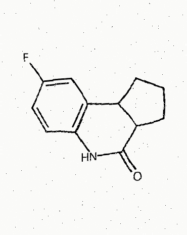 O=C1Nc2ccc(F)cc2C2CCCC12